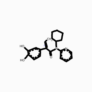 C/C=C(\C(=O)N(c1ccccn1)C1CCCCC1)c1ccc(O)c(O)c1